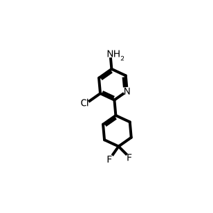 Nc1cnc(C2=CCC(F)(F)CC2)c(Cl)c1